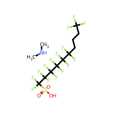 CNC.O=S(=O)(O)C(F)(F)C(F)(F)C(F)(F)C(F)(F)C(F)(F)C(F)(F)CCCC(F)(F)F